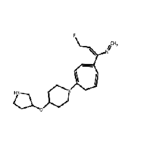 C=N/C(=C/CF)C1=CC=C(N2CCC(OC3CCNC3)CC2)CC=C1